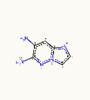 Nc1cc2nccn2nc1N